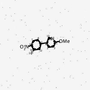 COc1ccc(-c2ccc([N+](=O)[O-])c(F)c2)cn1